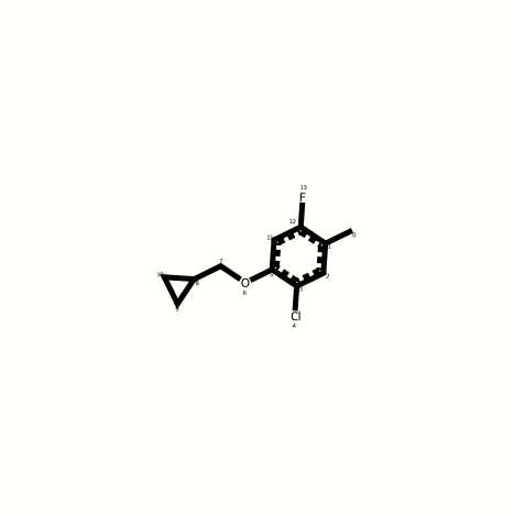 Cc1cc(Cl)c(OCC2CC2)cc1F